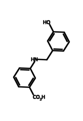 O=C(O)c1cccc(NCc2cccc(O)c2)c1